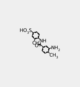 Cc1ccc(C(=O)Nc2ccc(S(=O)(=O)O)cc2C)cc1N